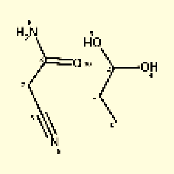 CCC(O)O.N#CCC(N)=O